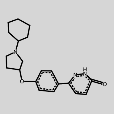 O=c1ccc(-c2ccc(OC3CCN(C4CCCCC4)C3)cc2)n[nH]1